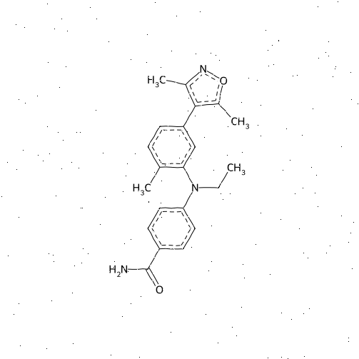 CCN(c1ccc(C(N)=O)cc1)c1cc(-c2c(C)noc2C)ccc1C